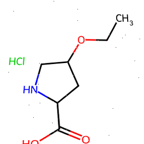 CCOC1CNC(C(=O)O)C1.Cl